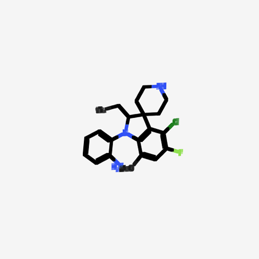 COc1cc(F)c(Cl)c2c1N(c1ccccc1N)C(CC(C)(C)C)C21CCNCC1